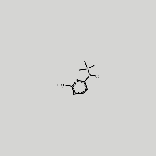 CCN(c1ccnc(C(=O)O)n1)[Si](C)(C)C